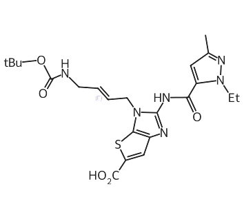 CCn1nc(C)cc1C(=O)Nc1nc2cc(C(=O)O)sc2n1C/C=C/CNC(=O)OC(C)(C)C